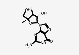 C[C@]1(CO)O[C@@H](n2cnc3c(=O)[nH]c(N)nc32)[C@@H](O)C1I